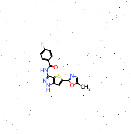 Cc1cnc(-c2cc3[nH]nc(NC(=O)c4ccc(F)cc4)c3s2)o1